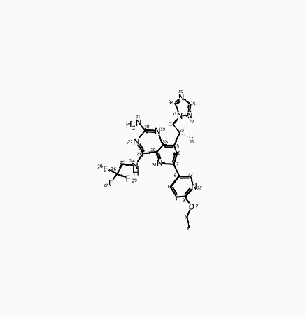 CCOc1ccc(-c2cc([C@@H](C)Cn3cncn3)c3nc(N)nc(NCC(F)(F)F)c3n2)cn1